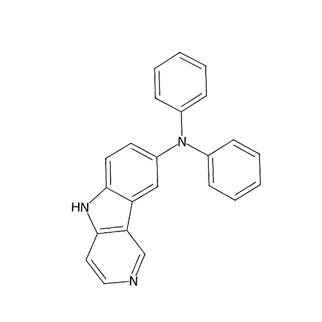 c1ccc(N(c2ccccc2)c2ccc3[nH]c4ccncc4c3c2)cc1